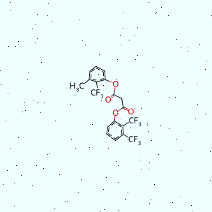 Cc1cccc(OC(=O)CC(=O)Oc2cccc(C(F)(F)F)c2C(F)(F)F)c1C(F)(F)F